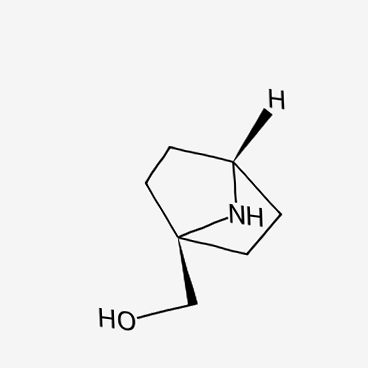 OC[C@]12CC[C@H](CC1)N2